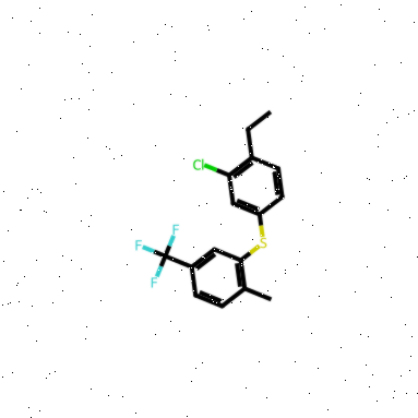 CCc1ccc(Sc2cc(C(F)(F)F)ccc2C)cc1Cl